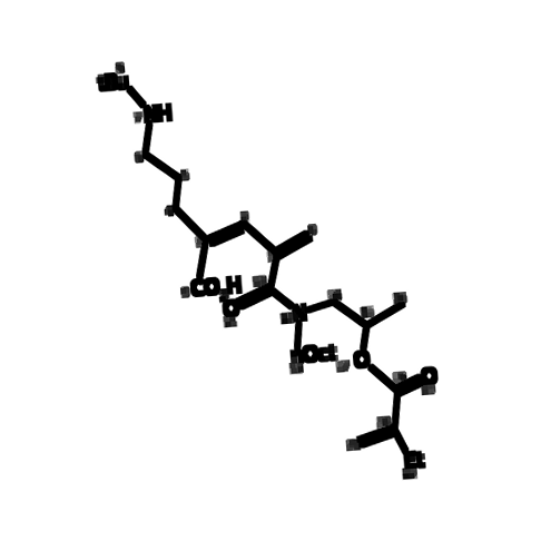 C=C(C=C(CCCNC(C)(C)C)C(=O)O)C(=O)N(CCCCCCCC)CC(C)OC(=O)C(=C)CC